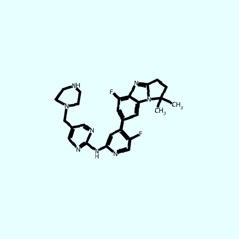 CC1(C)CCc2nc3c(F)cc(-c4cc(Nc5ncc(CN6CCNCC6)cn5)ncc4F)cc3n21